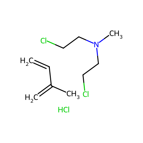 C=CC(=C)C.CN(CCCl)CCCl.Cl